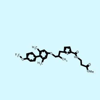 COC(=O)CCNC(=O)c1ccc(CC(C)COc2cc(C)c(-c3ccc(OC(F)(F)F)cc3)c(C)c2)s1